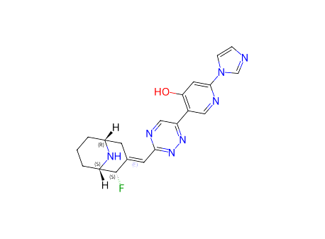 Oc1cc(-n2ccnc2)ncc1-c1cnc(/C=C2\C[C@H]3CCC[C@H](N3)[C@H]2F)nn1